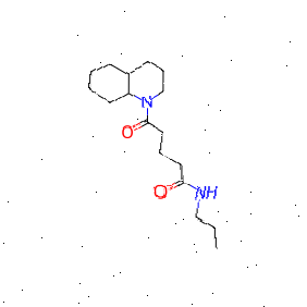 CCCNC(=O)CCCC(=O)N1CCCC2CCCCC21